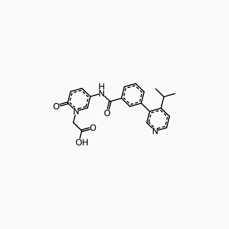 CC(C)c1ccncc1-c1cccc(C(=O)Nc2ccc(=O)n(CC(=O)O)c2)c1